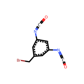 O=C=Nc1[c]c(N=C=O)cc(CBr)c1